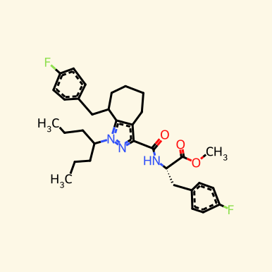 CCCC(CCC)n1nc(C(=O)N[C@@H](Cc2ccc(F)cc2)C(=O)OC)c2c1C(Cc1ccc(F)cc1)CCCC2